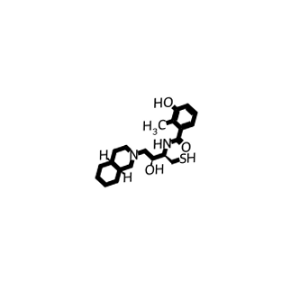 Cc1c(O)cccc1C(=O)N[C@@H](CS)[C@H](O)CN1CC[C@@H]2CCCC[C@@H]2C1